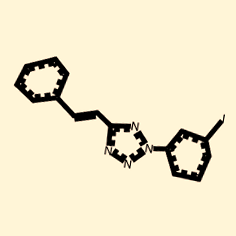 Ic1cccc(-n2nnc(/C=C/c3ccccc3)n2)c1